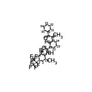 Cc1cc(C(F)(C(F)(F)F)C(F)(F)F)cc(Br)c1NC(=O)c1cccc(C(C)C(=O)c2ccccc2)c1F